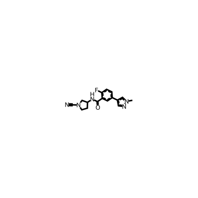 Cn1cc(-c2ccc(F)c(C(=O)NC3CCN(C#N)C3)c2)cn1